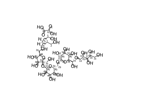 CCCO.CCO.O=C(O)C(=O)O.O=C[C@@H](O)[C@H](O)[C@H](O)CO.OC[C@H]1O[C@H](OC[C@H]2O[C@H](O[C@]3(CO)O[C@H](CO)[C@@H](O)[C@@H]3O)[C@H](O)[C@@H](O)[C@@H]2O)[C@H](O)[C@@H](O)[C@H]1O